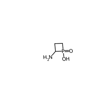 NC1CCP1(=O)O